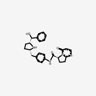 O=C(Nc1ccc(C[C@@H]2CC[C@H](C(O)c3ccccc3)N2)cc1)[C@@H]1CCc2nccc(=O)n21